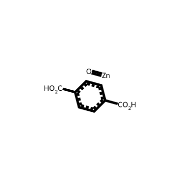 O=C(O)c1ccc(C(=O)O)cc1.[O]=[Zn]